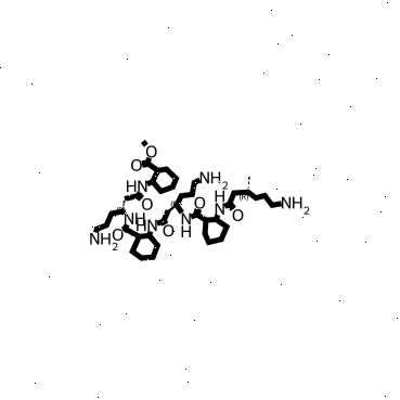 COC(=O)C1CCCCC1NC(=O)C[C@@H](CCCN)NC(=O)C1CCCCC1NC(=O)C[C@@H](CCCN)NC(=O)C1CCCCC1NC(=O)C[C@H](C)CCCN